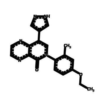 CCOc1ccc(-n2cc(-c3cn[nH]c3)c3nccnc3c2=O)c(C)c1